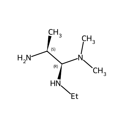 CCN[C@@H]([C@H](C)N)N(C)C